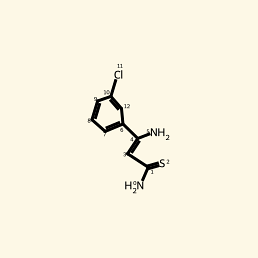 NC(=S)C=C(N)c1cccc(Cl)c1